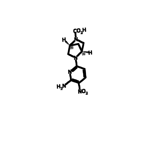 Nc1nc(N2C[C@@H]3C[C@H]2CN3C(=O)O)ccc1[N+](=O)[O-]